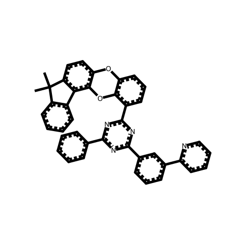 CC1(C)c2ccccc2-c2c1ccc1c2Oc2c(cccc2-c2nc(-c3ccccc3)nc(-c3cccc(-c4ccccn4)c3)n2)O1